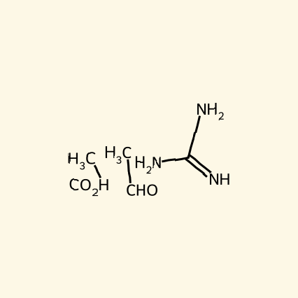 CC(=O)O.CC=O.N=C(N)N